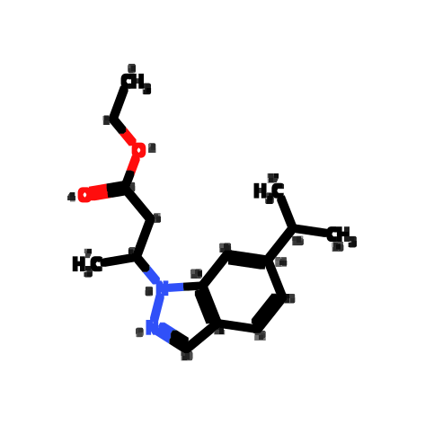 CCOC(=O)CC(C)n1ncc2ccc(C(C)C)cc21